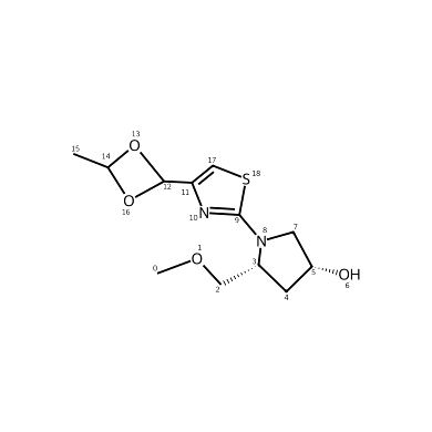 COC[C@H]1C[C@@H](O)CN1c1nc(C2OC(C)O2)cs1